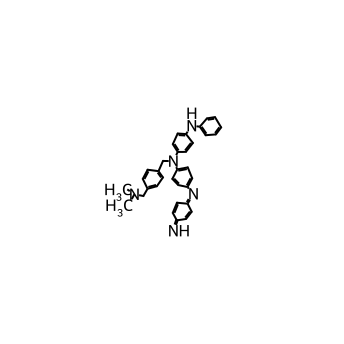 CN(C)Cc1ccc(CN(c2ccc(N=C3C=CC(=N)C=C3)cc2)c2ccc(Nc3ccccc3)cc2)cc1